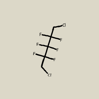 FC(F)(CCl)C(F)(F)C(F)(F)CCl